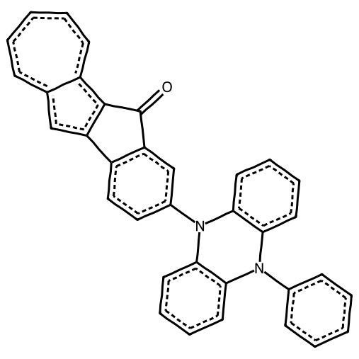 O=C1c2cc(N3c4ccccc4N(c4ccccc4)c4ccccc43)ccc2-c2cc3cccccc-3c21